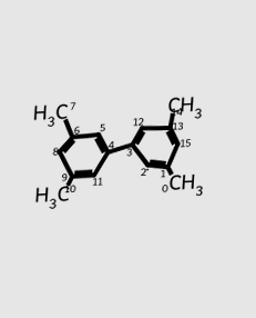 Cc1[c]c(-c2cc(C)cc(C)c2)cc(C)c1